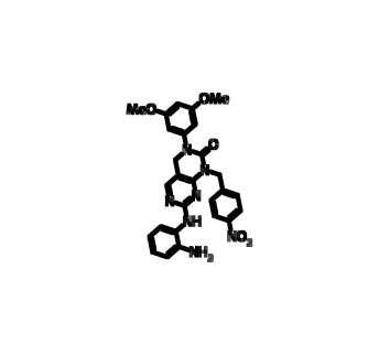 COc1cc(OC)cc(N2Cc3cnc(Nc4ccccc4N)nc3N(Cc3ccc([N+](=O)[O-])cc3)C2=O)c1